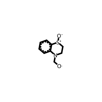 [O]CN1CC[S+]([O-])c2ccccc21